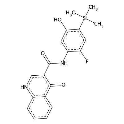 C[Si](C)(C)c1cc(F)c(NC(=O)c2c[nH]c3ccccc3c2=O)cc1O